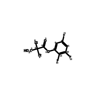 CCC(CC)(C(=O)O)C(=O)Oc1cc(F)cc(F)c1F